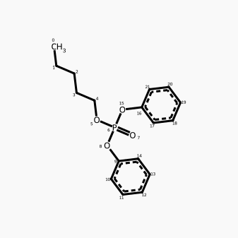 C[CH]CCCOP(=O)(Oc1ccccc1)Oc1ccccc1